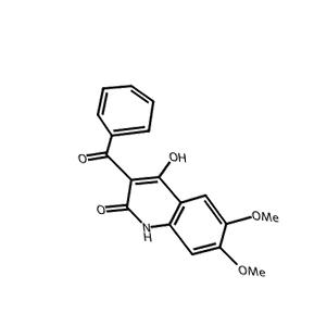 COc1cc2[nH]c(=O)c(C(=O)c3ccccc3)c(O)c2cc1OC